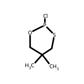 CC1(C)COP(Cl)SC1